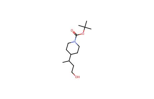 CC(CCO)C1CCN(C(=O)OC(C)(C)C)CC1